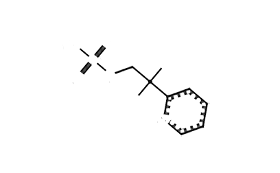 CC(C)(COS(C)(=O)=O)c1ccccn1